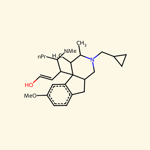 CCCC(NC)C(C=CO)C12c3cc(OC)ccc3CC1CN(CC1CC1)C(C)C2C